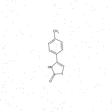 Cc1ccc(-c2csc(=O)[nH]2)cc1